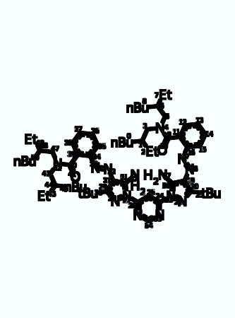 CCCCC(CC)CN(CC(CC)CCCC)C(=O)c1ccccc1/N=N/c1c(C(C)(C)C)nn(-c2cc(-n3nc(C(C)(C)C)c(/N=N/c4ccccc4C(=O)N(CC(CC)CCCC)CC(CC)CCCC)c3N)ncn2)c1N